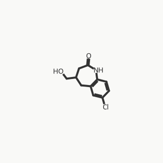 O=C1CC(CO)Cc2cc(Cl)ccc2N1